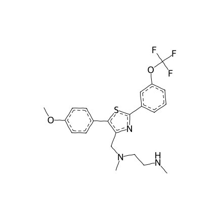 CNCCN(C)Cc1nc(-c2cccc(OC(F)(F)F)c2)sc1-c1ccc(OC)cc1